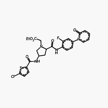 CCOC(=O)CN1CC(NC(=O)c2ccc(Cl)s2)CC1C(=O)Nc1ccc(-n2ccccc2=O)cc1F